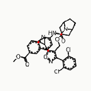 COC(=O)c1ccc2nc(NC(=O)N3C4CCC3CC(OCc3c(-c5c(Cl)cccc5Cl)noc3C3CC3)C4)ccc2c1